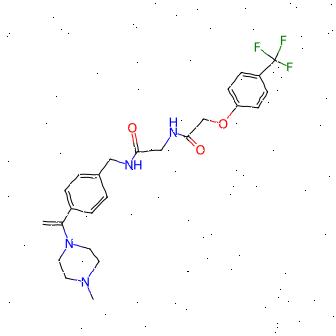 C=C(c1ccc(CNC(=O)CNC(=O)COc2ccc(C(F)(F)F)cc2)cc1)N1CCN(C)CC1